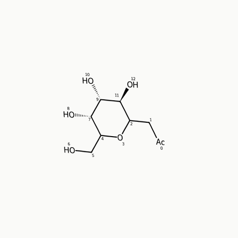 CC(=O)CC1OC(CO)[C@H](O)[C@H](O)[C@H]1O